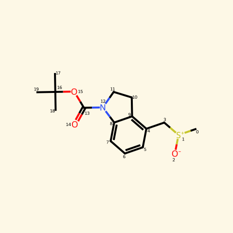 C[S+]([O-])Cc1cccc2c1CCN2C(=O)OC(C)(C)C